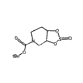 CC(C)(C)OC(=O)N1CCC2OS(=O)OC2C1